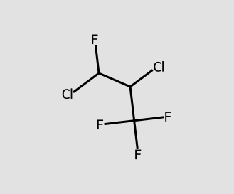 FC(Cl)C(Cl)C(F)(F)F